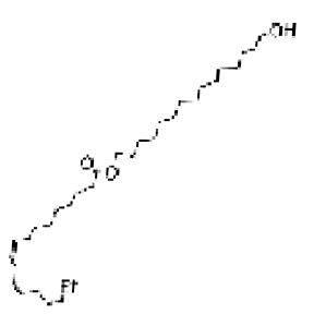 CC/C=C\C/C=C\C/C=C\CCCCCCCC(=O)OCCCCCCCCCCCCCCCO